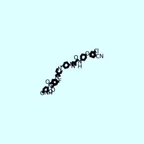 N#Cc1ccc(O[C@H]2CC[C@H](NC(=O)c3cnn([C@H]4CC[C@H](CN5CCC6(CC5)CN(c5cc7c(cc5F)C(=O)N(C5CCC(=O)NC5=O)C7=O)C6)CC4)c3)CC2)cc1Cl